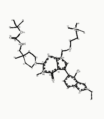 CCn1cc2c(Cl)c(-c3cn(COCC[Si](C)(C)C)c4nc(N5CCC(C)(CNC(=O)OC(C)(C)C)CC5)n(C)c(=O)c34)ccc2n1